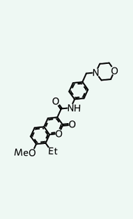 CCc1c(OC)ccc2cc(C(=O)Nc3ccc(CN4CCOCC4)cc3)c(=O)oc12